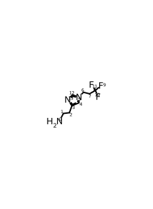 NCCc1cn(CCC(F)(F)F)cn1